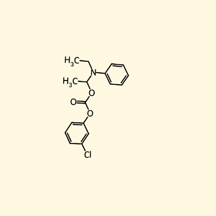 CCN(c1ccccc1)C(C)OC(=O)Oc1cccc(Cl)c1